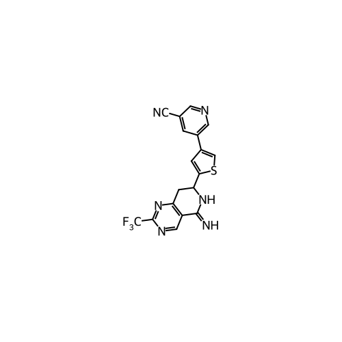 N#Cc1cncc(-c2csc(C3Cc4nc(C(F)(F)F)ncc4C(=N)N3)c2)c1